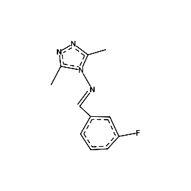 Cc1nnc(C)n1N=Cc1cccc(F)c1